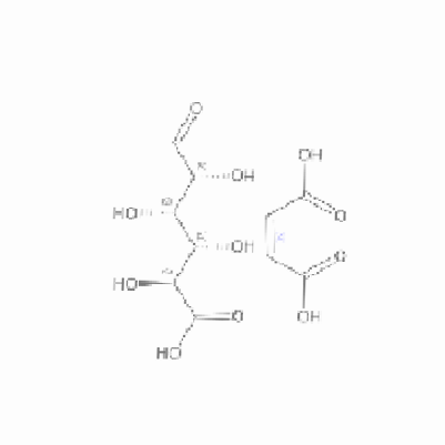 O=C(O)/C=C\C(=O)O.O=C[C@H](O)[C@@H](O)[C@H](O)[C@H](O)C(=O)O